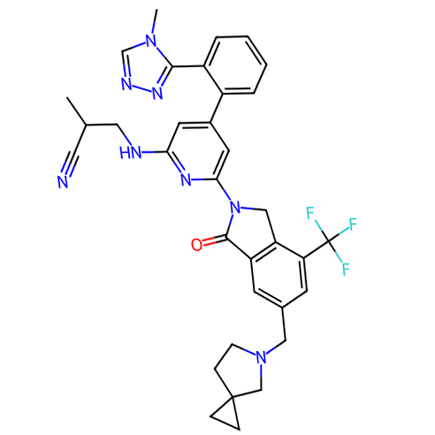 CC(C#N)CNc1cc(-c2ccccc2-c2nncn2C)cc(N2Cc3c(cc(CN4CCC5(CC5)C4)cc3C(F)(F)F)C2=O)n1